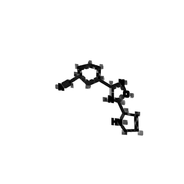 N#Cc1cccc(-c2noc(C3C=CCN3)n2)c1